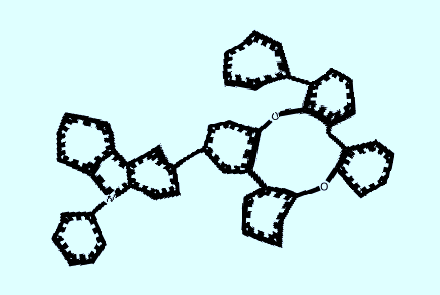 c1ccc(-c2cccc3c2Oc2ccc(-c4ccc5c(c4)c4ccccc4n5-c4ccccc4)cc2-c2ccccc2Oc2ccccc2-3)cc1